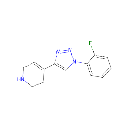 Fc1ccccc1-n1cc(C2=CCNCC2)nn1